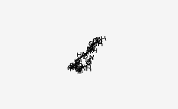 N#Cc1ccc(CCNC(=O)C2CCCN2c2cc(N3CCC(CCCC(=O)NCCNc4ncc(C(=O)NCCS(=O)(=O)O)cn4)CC3)nc(C(F)(F)F)n2)cc1